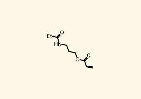 C=CC(=O)OCCCNC(=O)CC